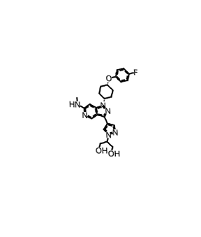 CNc1cc2c(cn1)c(-c1cnn(C(CO)CO)c1)nn2[C@H]1CC[C@@H](Oc2ccc(F)cc2)CC1